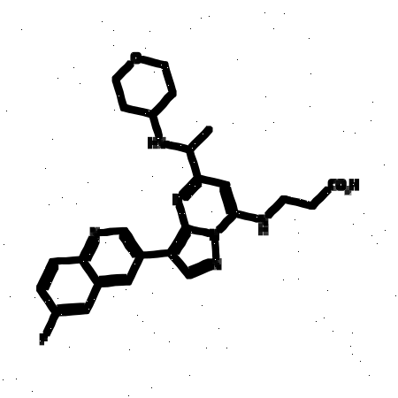 CC(NC1CCOCC1)c1cc(NCCC(=O)O)n2ncc(-c3cnc4ccc(F)cc4c3)c2n1